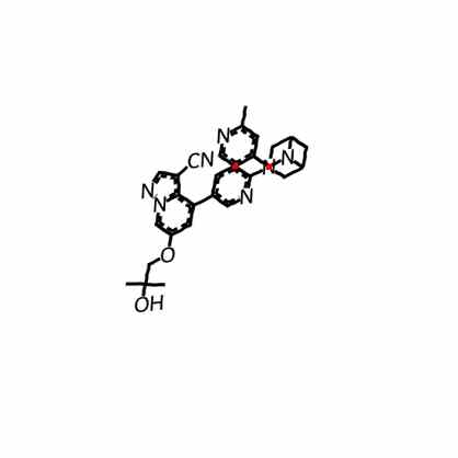 Cc1cc(CN2C3CC2CN(c2ccc(-c4cc(OCC(C)(C)O)cn5ncc(C#N)c45)cn2)C3)ccn1